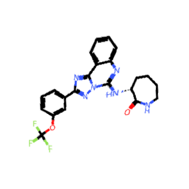 O=C1NCCCC[C@H]1Nc1nc2ccccc2c2nc(-c3cccc(OC(F)(F)F)c3)nn12